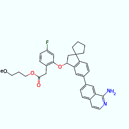 COCCCOC(=O)Cc1ccc(F)cc1OC1CC2(CCCC2)c2ccc(-c3ccc4ccnc(N)c4c3)cc21